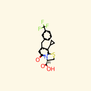 O=C(O)[C@@H]1CSc2c(C3CC3)c(Cc3cccc(C(F)(F)F)c3)cc(=O)n21